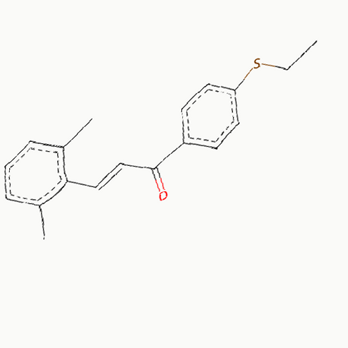 CCSc1ccc(C(=O)C=Cc2c(C)cccc2C)cc1